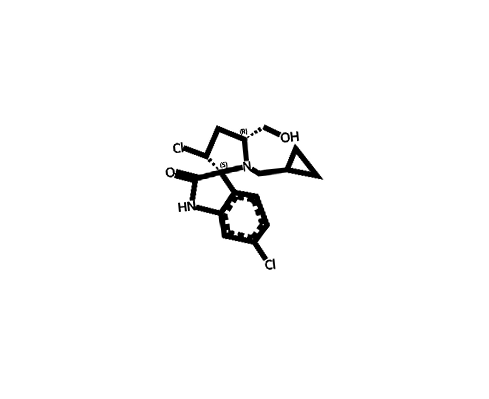 O=C1Nc2cc(Cl)ccc2[C@@]12C(Cl)C[C@H](CO)N2CC1CC1